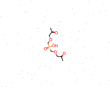 CC(=O)COCP(=O)(O)COCC(C)=O